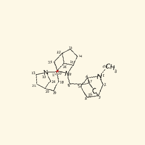 CN1CC2CCC1C(CN1CCC3CCC1C3C1CCC3CCN1C3)C2